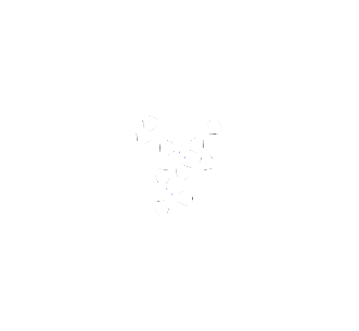 c1ccc(-n2c3ccccc3c3cccc(-c4ccc(N(c5ccc(-c6cccc7ccccc67)cc5)c5ccc6c(c5)oc5ccccc56)c5c4oc4ccccc45)c32)cc1